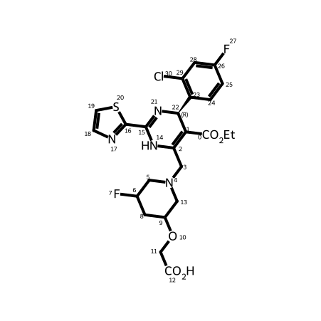 CCOC(=O)C1=C(CN2CC(F)CC(OCC(=O)O)C2)NC(c2nccs2)=N[C@H]1c1ccc(F)cc1Cl